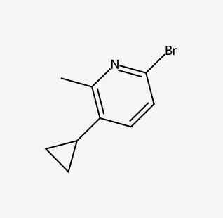 Cc1nc(Br)ccc1C1CC1